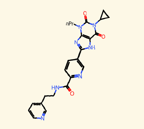 CCCn1c(=O)n(C2CC2)c(=O)c2[nH]c(-c3ccc(C(=O)NCCc4cccnc4)nc3)nc21